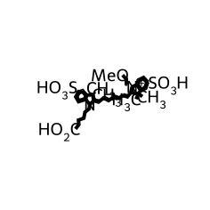 COCC[N+]1=C(/C=C/C=C/C=C/C=C2/N(CCCCCC(=O)O)c3ccc(S(=O)(=O)O)cc3C2(C)C)C(C)(C)c2cc(S(=O)(=O)O)ccc21